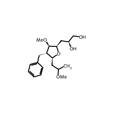 COC(C)C[C@@H]1O[C@H](C[C@H](O)CO)[C@H](OC)[C@H]1Cc1ccccc1